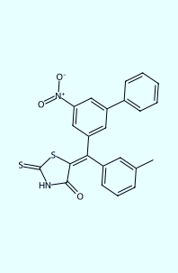 Cc1cccc(/C(=C2/SC(=S)NC2=O)c2cc(-c3ccccc3)cc([N+](=O)[O-])c2)c1